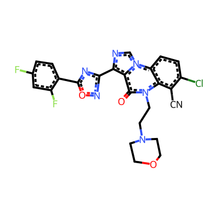 N#Cc1c(Cl)ccc2c1n(CCN1CCOCC1)c(=O)c1c(-c3noc(-c4ccc(F)cc4F)n3)ncn12